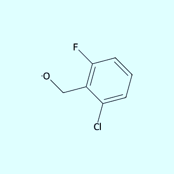 [O]Cc1c(F)cccc1Cl